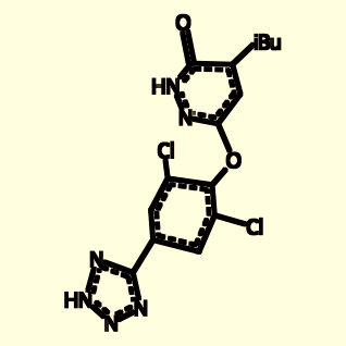 CCC(C)c1cc(Oc2c(Cl)cc(-c3nn[nH]n3)cc2Cl)n[nH]c1=O